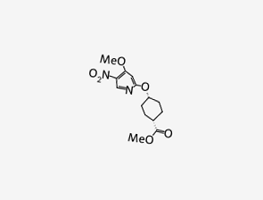 COc1cc(O[C@H]2CC[C@@H](C(=O)OC)CC2)ncc1[N+](=O)[O-]